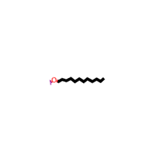 CCCCCCCCCCCCOI